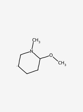 COC1CC[CH]CN1C